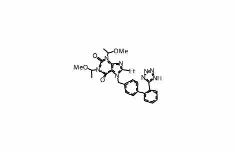 CCc1nc2c(c(=O)n(C(C)OC)c(=O)n2C(C)OC)n1Cc1ccc(-c2ccccc2-c2nnn[nH]2)cc1